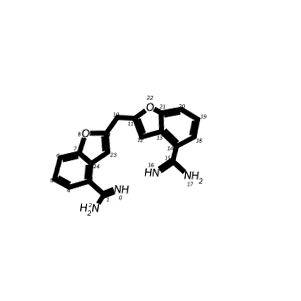 N=C(N)c1cccc2oc(Cc3cc4c(C(=N)N)cccc4o3)cc12